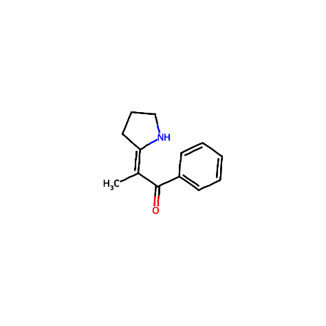 CC(C(=O)c1ccccc1)=C1CCCN1